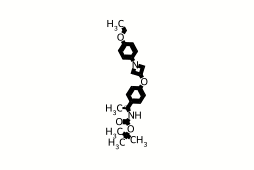 CCOc1ccc(N2CC(Oc3ccc([C@H](C)NC(=O)OC(C)(C)C)cc3)C2)cc1